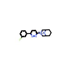 CN1C2CCCC1CN(c1ccc(-c3cccc(F)c3)nn1)C2